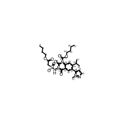 CCCCOC(=O)CS(=O)(=O)Nn1c(=O)c2cc(-c3ccnn3C)c(C(C)C)cc2n(C(=O)OCCCC)c1=O